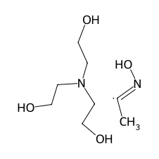 C[C]=NO.OCCN(CCO)CCO